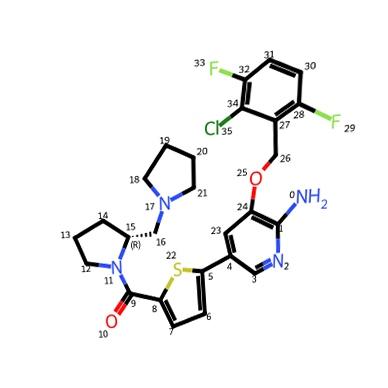 Nc1ncc(-c2ccc(C(=O)N3CCC[C@@H]3CN3CCCC3)s2)cc1OCc1c(F)ccc(F)c1Cl